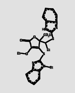 CCOC(=O)C1(C(CC)Sc2nc3ccccc3[nH]2)OC(=O)C(OCC)=C1Sc1nc2ccccc2n1CC